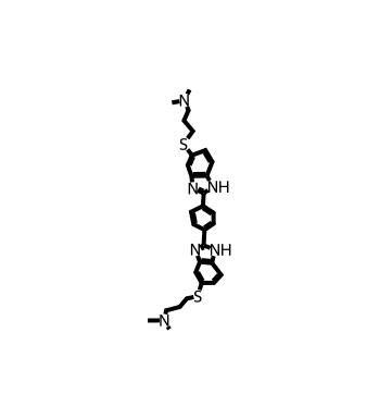 CN(C)CCCSc1ccc2[nH]c(-c3ccc(-c4nc5cc(SCCCN(C)C)ccc5[nH]4)cc3)nc2c1